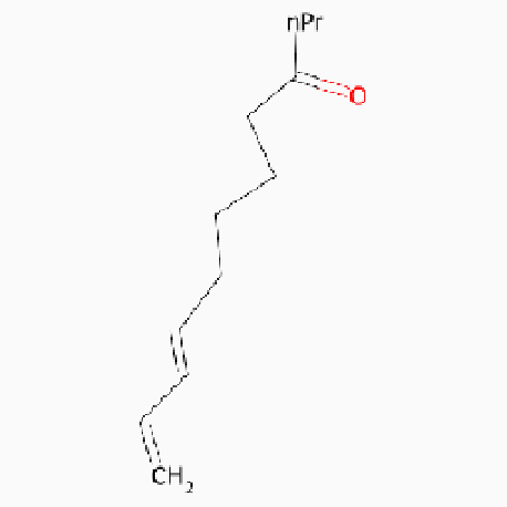 C=CC=CCCCCC(=O)CCC